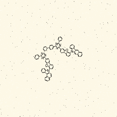 c1ccc(-c2nc(-c3ccc(-c4cccc(-c5nc(-c6ccccc6)nc(-c6ccc7c(c6)oc6c(-n8c9ccccc9c9c%10ccccc%10ccc98)cccc67)n5)c4)cc3)nc(-c3ccc4c(c3)oc3c(-n5c6ccccc6c6cc7ccccc7cc65)cccc34)n2)cc1